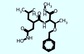 CNC(=O)C(NC(=O)C(CC(=O)NO)CC(C)C)[C@@H](C)OCc1ccccc1